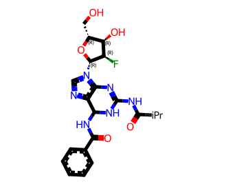 CC(C)C(=O)NC1=Nc2c(ncn2[C@@H]2O[C@H](CO)[C@@H](O)[C@H]2F)C(NC(=O)c2ccccc2)N1